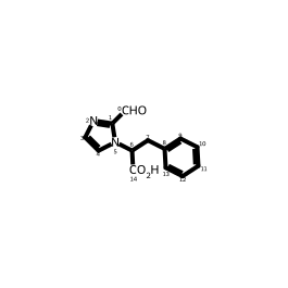 O=Cc1nccn1C(Cc1ccccc1)C(=O)O